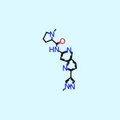 CN1CCCC1C(=O)Nc1cc2nc(-c3cnn(C)c3)ccc2cn1